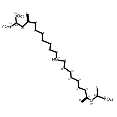 C=C(CCCCCCCNCCCCCCCC(=C)OC(C)CCCCCCCC)CC(CCCCCCCC)CCCCCCCC